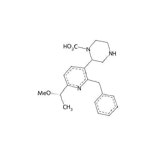 CO[C@@H](C)c1ccc(C2CNCCN2C(=O)O)c(Cc2ccccc2)n1